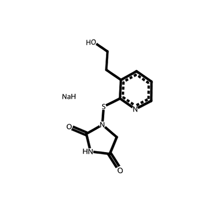 O=C1CN(Sc2ncccc2CCO)C(=O)N1.[NaH]